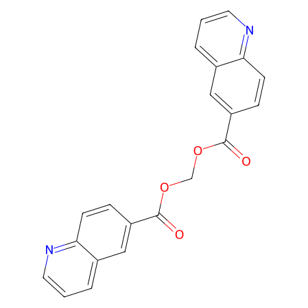 O=C(OCOC(=O)c1ccc2ncccc2c1)c1ccc2ncccc2c1